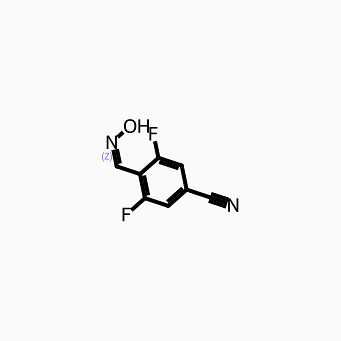 N#Cc1cc(F)c(/C=N\O)c(F)c1